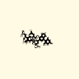 Cc1cc(C)c(-c2cc(C(CC(=O)O)NC(=O)C(CC(C)C)n3cc(CCN(C)C)c(C(F)(F)F)cc3=O)cc3c2CCC3)c(C)c1